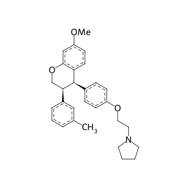 COc1ccc2c(c1)OC[C@H](c1cccc(C)c1)[C@@H]2c1ccc(OCCN2CCCC2)cc1